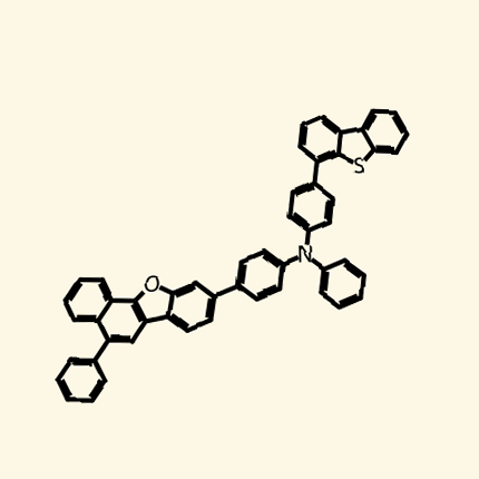 c1ccc(-c2cc3c4ccc(-c5ccc(N(c6ccccc6)c6ccc(-c7cccc8c7sc7ccccc78)cc6)cc5)cc4oc3c3ccccc23)cc1